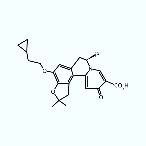 CC(C)[C@@H]1Cc2cc(OCCC3CC3)c3c(c2-c2cc(=O)c(C(=O)O)cn21)CC(C)(C)O3